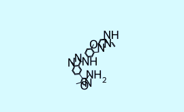 C=Cn1cnc(Oc2ccc(Nc3ncnc4ccc(-c5c(N)noc5C)cc34)cc2C)cc1=N